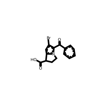 O=C(c1ccccc1)c1c(Br)cc2n1CCC2C(=O)O